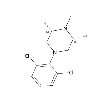 C[C@@H]1CN(c2c(Cl)cccc2Cl)C[C@H](C)N1C